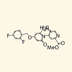 COC(=O)c1cc(-n2c(C)cc(OCc3ccc(F)cc3F)cc2=O)c(C)cn1